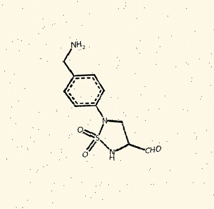 NCc1ccc(N2CC(C=O)NS2(=O)=O)cc1